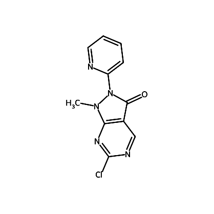 Cn1c2nc(Cl)ncc2c(=O)n1-c1ccccn1